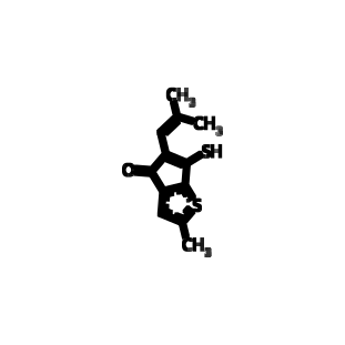 CC(C)=CC1=C(S)c2sc(C)cc2C1=O